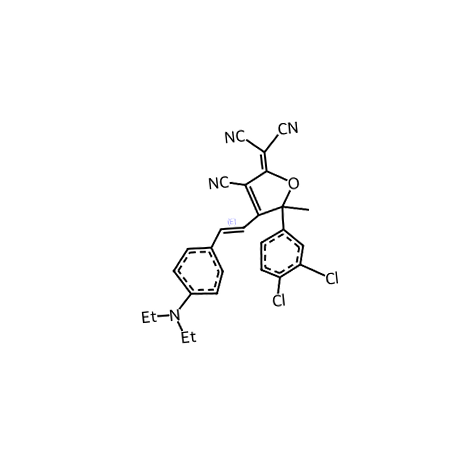 CCN(CC)c1ccc(/C=C/C2=C(C#N)C(=C(C#N)C#N)OC2(C)c2ccc(Cl)c(Cl)c2)cc1